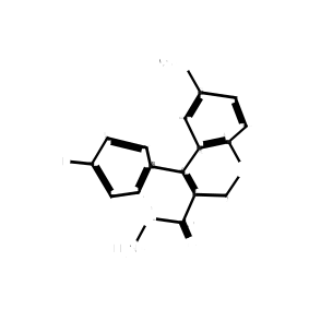 COc1ccc2c(c1)C(c1ccc(F)cc1)=C(C(=O)ON)CO2